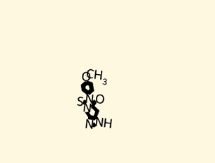 COc1ccc(N2C(=O)C3Cc4[nH]cnc4CN3C2=S)cc1